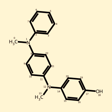 CN(c1ccccc1)c1ccc(N(C)c2ccc(O)cc2)cc1